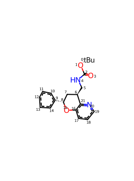 CC(C)(C)OC(=O)NC[C@@H]1C[C@@H](c2ccccc2)Oc2cccnc21